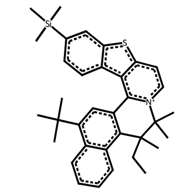 CCC1(C)c2c(cc(C(C)(C)C)c3ccccc23)-c2c3c(cc[n+]2C1(C)C)sc1cc([Si](C)(C)C)ccc13